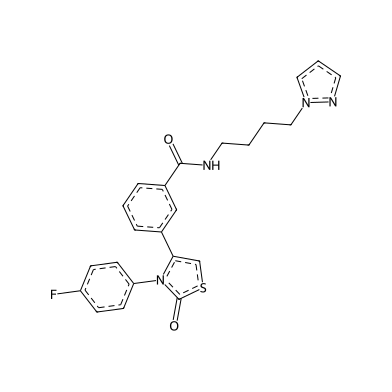 O=C(NCCCCn1cccn1)c1cccc(-c2csc(=O)n2-c2ccc(F)cc2)c1